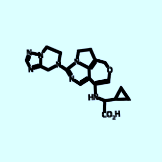 O=C(O)C(NC1=COCC2=C3C1=CN=C(N1CCn4ncnc4C1)N3CC2)C1CC1